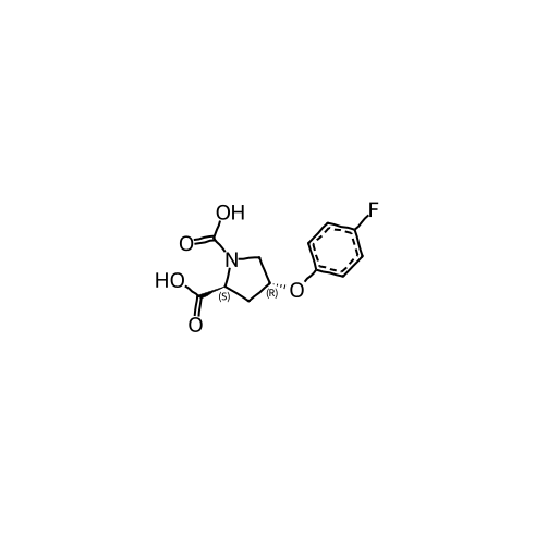 O=C(O)[C@@H]1C[C@@H](Oc2ccc(F)cc2)CN1C(=O)O